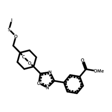 COC(=O)c1cccc(-c2noc(C34CCC(COSI)(CC3)CO4)n2)c1